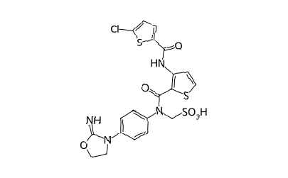 N=C1OCCN1c1ccc(N(CS(=O)(=O)O)C(=O)c2sccc2NC(=O)c2ccc(Cl)s2)cc1